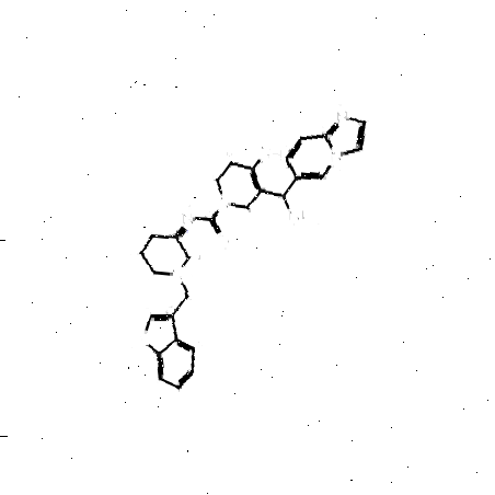 NC1=C(C(N)c2ccc3nccn3c2)CN(C(=O)/N=C2/CCCN(Cc3csc4ccccc34)C2)CC1